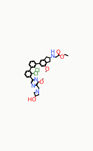 CCOC(=O)CN[C@@H]1Cc2cc(-c3cccc(-c4cccc(-c5cnc(CN6CC(O)C6)c(OC)n5)c4Cl)c3Cl)cc(OC)c2C1